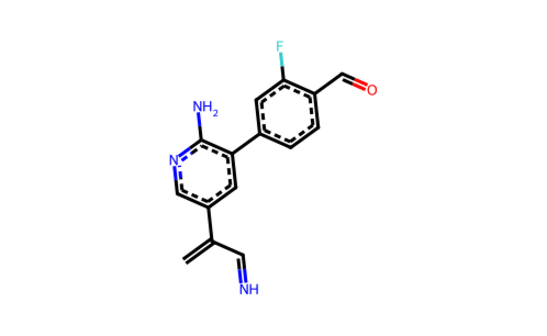 C=C(C=N)c1cnc(N)c(-c2ccc(C=O)c(F)c2)c1